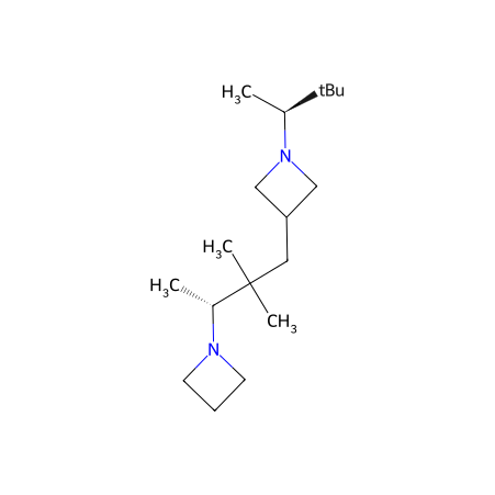 C[C@H](N1CC(CC(C)(C)[C@@H](C)N2CCC2)C1)C(C)(C)C